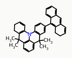 CC1(C)C2=C(C=CCC2)N2c3ccc(-c4c5c(cc6ccccc46)C=CCC5)cc3C(C)(C)c3cccc1c32